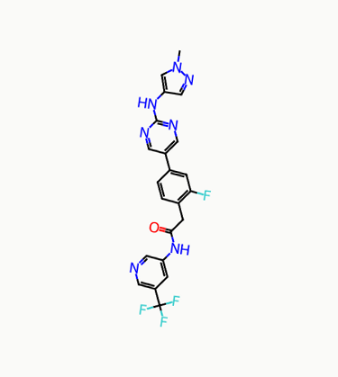 Cn1cc(Nc2ncc(-c3ccc(CC(=O)Nc4cncc(C(F)(F)F)c4)c(F)c3)cn2)cn1